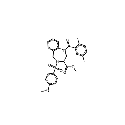 COC(=O)C1CN(C(=O)c2cc(C)ccc2C)c2ccccc2CN1S(=O)(=O)c1ccc(OC)cc1